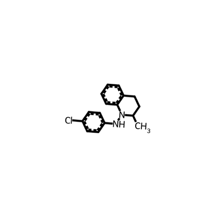 CC1CCc2ccccc2N1Nc1ccc(Cl)cc1